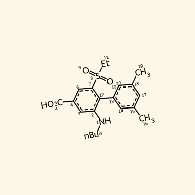 CCCCNc1cc(C(=O)O)cc(S(=O)(=O)CC)c1-c1cc(C)cc(C)c1